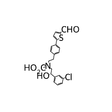 O=Cc1ccc(-c2ccc(CCN(C[C@@H](O)c3cccc(Cl)c3)C(=O)O)cc2)s1